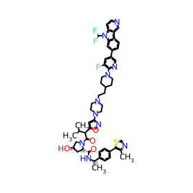 Cc1ncsc1-c1ccc([C@H](C)NC(=O)[C@@H]2C[C@@H](O)CN2C(=O)C(c2cc(N3CCN(CCC4CCN(c5ncc(-c6ccc7c8cnccc8n(C(F)F)c7c6)cc5F)CC4)CC3)no2)C(C)C)cc1